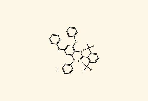 O=C(Pc1c(Oc2ccccc2)cc(Oc2ccccc2)cc1Oc1ccccc1)c1c(C(F)(F)F)cccc1C(F)(F)F.[LiH]